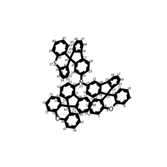 c1ccc2c(c1)Oc1ccccc1C21c2ccccc2-c2cc(N(c3ccc4c(c3)C3(c5ccccc5Sc5ccccc53)c3ccccc3-4)c3cccc4c3-c3ccccc3C43c4ccccc4Oc4ccccc43)ccc21